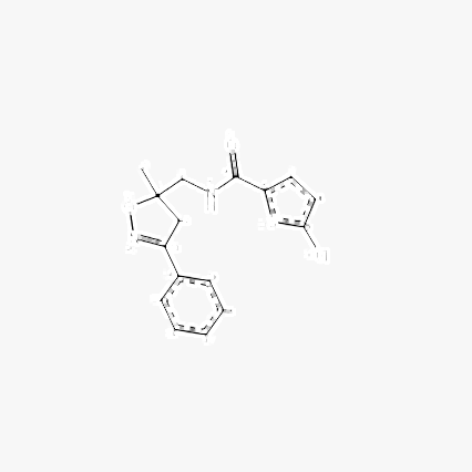 CC1(CNC(=O)c2ccc(Cl)s2)CC(c2ccccc2)=NO1